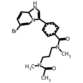 CC(=O)N(C)CCCN(C)C(=O)c1ccc(C2=CNC3C=CC(Br)=CN23)cc1